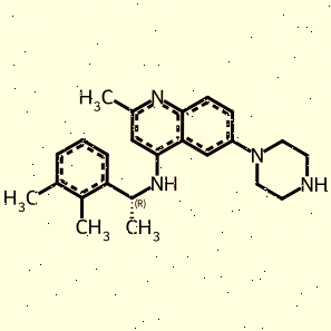 Cc1cc(N[C@H](C)c2cccc(C)c2C)c2cc(N3CCNCC3)ccc2n1